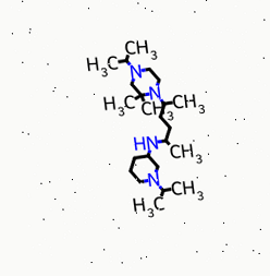 CC(CCC(C)N1CCN(C(C)C)CC1(C)C)NC1CCCN(C(C)C)C1